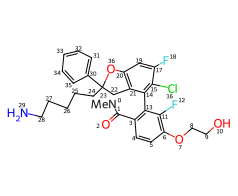 CNC(=O)c1ccc(OCCO)c(F)c1-c1c(Cl)c(F)cc2c1CC(CCCCCN)(c1ccccc1)O2